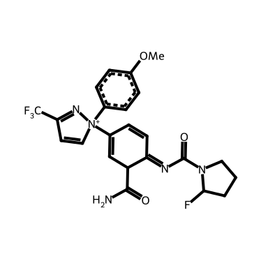 COc1ccc([N+]2(C3=CC(C(N)=O)C(=NC(=O)N4CCCC4F)C=C3)C=CC(C(F)(F)F)=N2)cc1